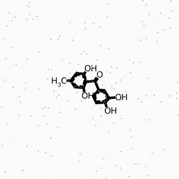 Cc1cc(O)c(C(=O)c2ccc(O)c(O)c2)c(O)c1